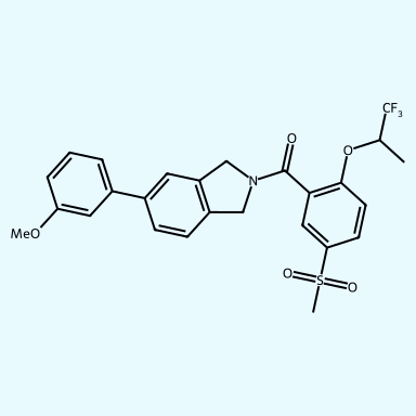 COc1cccc(-c2ccc3c(c2)CN(C(=O)c2cc(S(C)(=O)=O)ccc2OC(C)C(F)(F)F)C3)c1